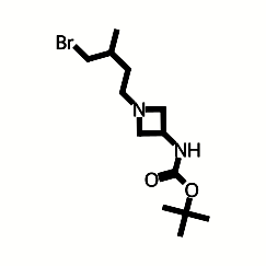 CC(CBr)CCN1CC(NC(=O)OC(C)(C)C)C1